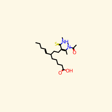 CCC/C=C/C(CCCCC(=O)O)CC/C(C(=S)NC)=C(\C)N(C)C(C)=O